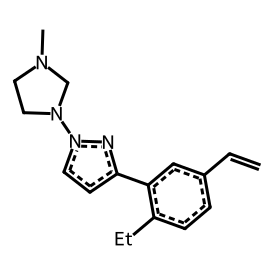 C=Cc1ccc(CC)c(-c2ccn(N3CCN(C)C3)n2)c1